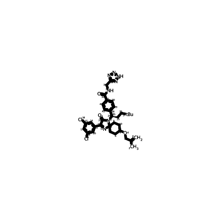 C=C(C)COC1CCC2(CC1)N=C(c1cc(Cl)cc(Cl)c1)C(=O)N2[C@H](CCC(C)(C)C)c1ccc(C(=O)NCc2nn[nH]n2)cc1